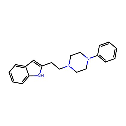 c1ccc(N2CCN(CCc3cc4ccccc4[nH]3)CC2)cc1